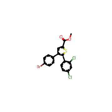 COC(=O)c1cc(-c2ccc(Br)cc2)c(-c2ccc(Cl)cc2Cl)s1